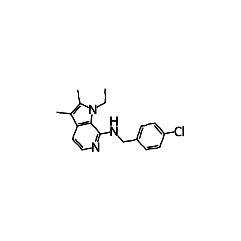 CCn1c(C)c(C)c2ccnc(NCc3ccc(Cl)cc3)c21